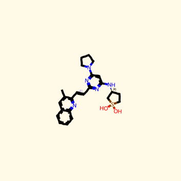 Cc1cc2ccccc2nc1/C=C/c1nc(N[C@@H]2CCS(O)(O)C2)cc(N2CCCC2)n1